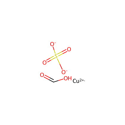 O=CO.O=S(=O)([O-])[O-].[Cu+2]